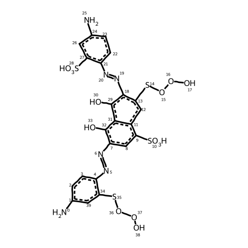 Nc1ccc(/N=N/c2cc(S(=O)(=O)O)c3cc(SOOO)c(/N=N/c4ccc(N)cc4S(=O)(=O)O)c(O)c3c2O)c(SOOO)c1